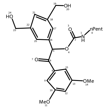 CCCCCNC(=O)OC(C(=O)c1cc(OC)cc(OC)c1)c1cc(CO)cc(CO)c1